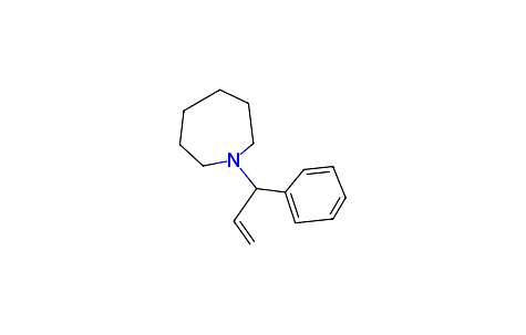 C=CC(c1ccccc1)N1CCCCCC1